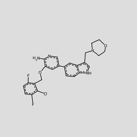 Nc1ncc(-c2ccc3[nH]cc(CN4CCOCC4)c3c2)cc1OCc1c(F)ccc(F)c1Cl